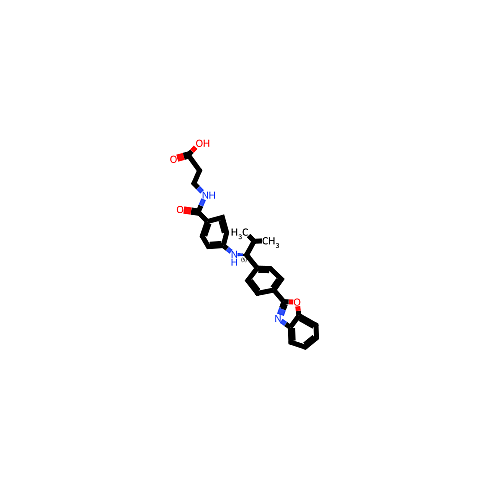 CC(C)[C@H](Nc1ccc(C(=O)NCCC(=O)O)cc1)c1ccc(-c2nc3ccccc3o2)cc1